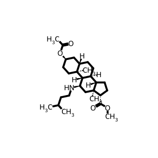 COC(=O)[C@H]1CC[C@H]2[C@@H]3CC[C@H]4C[C@H](OC(C)=O)CC[C@]4(C)[C@H]3[C@H](NCCC(C)C)C[C@]12C